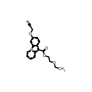 CCOCCOC(=O)c1c2ccc(OCC#N)cc2n2ccccc12